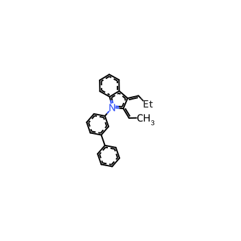 C/C=c1\c(=C/CC)c2ccccc2n1-c1cccc(-c2ccccc2)c1